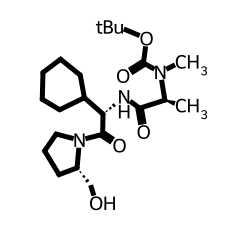 C[C@@H](C(=O)N[C@H](C(=O)N1CCC[C@H]1CO)C1CCCCC1)N(C)C(=O)OC(C)(C)C